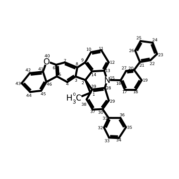 CCC12c3cc4c(cc3-c3cccc(c31)N(c1cccc(-c3ccccc3)c1)c1cc(-c3ccccc3)ccc12)oc1ccccc14